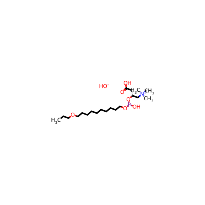 CCCOCCCCCCCCCCOP(O)O[C@H](CC(=O)O)C[N+](C)(C)C.[OH-]